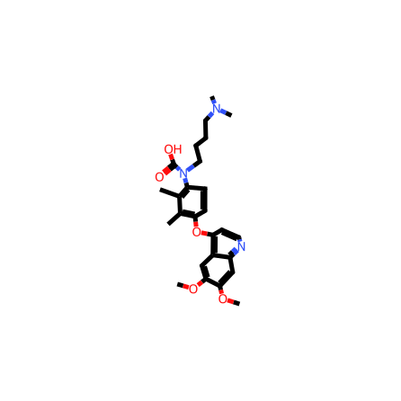 COc1cc2nccc(Oc3ccc(N(CCCCN(C)C)C(=O)O)c(C)c3C)c2cc1OC